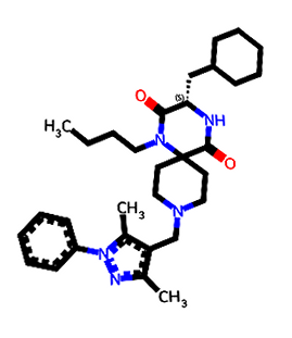 CCCCN1C(=O)[C@H](CC2CCCCC2)NC(=O)C12CCN(Cc1c(C)nn(-c3ccccc3)c1C)CC2